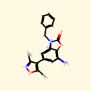 Cc1noc(C)c1-c1cc(N)c2oc(=O)n(Cc3ccccc3)c2c1